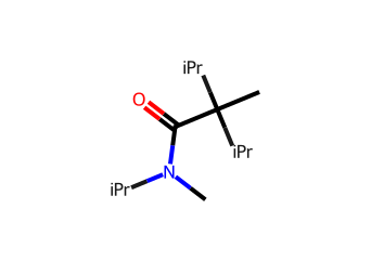 CC(C)N(C)C(=O)C(C)(C(C)C)C(C)C